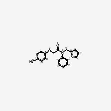 N#Cc1ccc(OCC(=O)N(Cc2cccs2)c2ccccc2)cc1